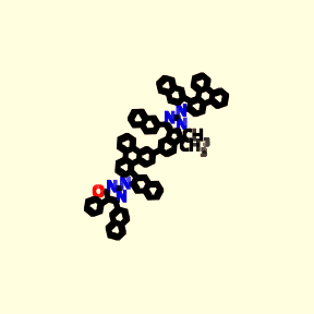 CC1(C)c2ccc(-c3ccc4c(c3)c3ccccc3c3ccc5c(c6cc7ccccc7cc6n5-c5nc(-c6ccc7ccccc7c6)c6c(n5)oc5ccccc56)c34)cc2-c2c(-c3ccc4ccccc4c3)nc(-n3c4cc5ccccc5cc4c4c5c6ccccc6c6ccccc6c5ccc43)nc21